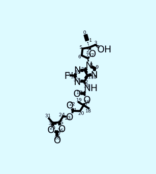 C#C[C@@]1(CO)CC[C@H](n2cnc3c(NC(=O)OC(C)(C)CC(=O)OCc4oc(=O)oc4C)nc(F)nc32)O1